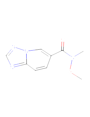 CON(C)C(=O)c1ccc2ncnn2c1